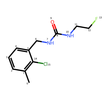 Cc1cccc(CNC(=O)NCCF)c1Cl